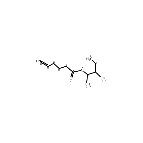 CCC(C)C(C)OC(=O)CCCC=N